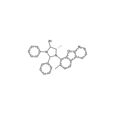 Cc1ccc2c(oc3ncccc32)c1N1C(c2ccccc2)N(c2ccccc2)C(C(C)C)[C@@H]1C